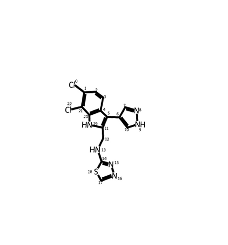 Clc1ccc2c(-c3cn[nH]c3)c(CNc3nncs3)[nH]c2c1Cl